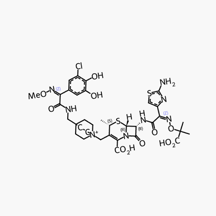 CO/N=C(\C(=O)NCC12CC[N+](CC3=C(C(=O)O)N4C(=O)[C@@H](NC(=O)/C(=N\OC(C)(C)C(=O)O)c5csc(N)n5)[C@H]4S[C@H]3C)(CC1)CC2)c1cc(O)c(O)c(Cl)c1